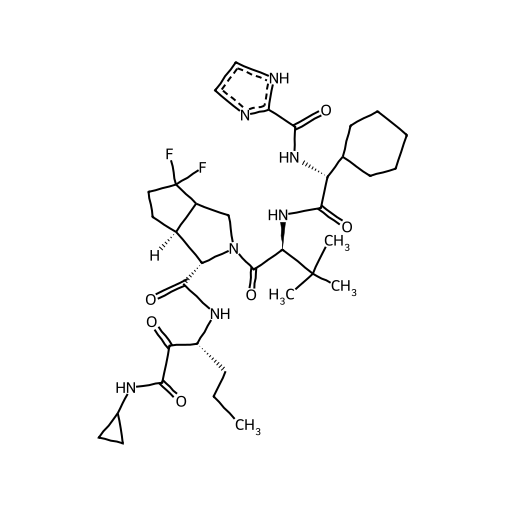 CCC[C@@H](NC(=O)[C@@H]1[C@H]2CCC(F)(F)C2CN1C(=O)[C@@H](NC(=O)[C@H](NC(=O)c1ncc[nH]1)C1CCCCC1)C(C)(C)C)C(=O)C(=O)NC1CC1